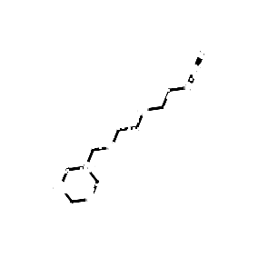 [N-]=[N+]=NCCOCCOCN1COCOC1